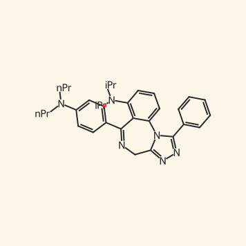 CCCN(CCC)c1ccc(C2=NCc3nnc(-c4ccccc4)n3-c3cccc(N(C(C)C)C(C)C)c32)cc1